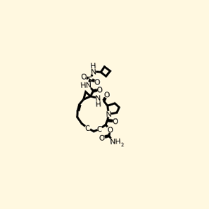 NC(=O)OC1CCCCCC=CC2CC2(C(=O)NS(=O)(=O)NC2CCC2)NC(=O)C2CCCN2C1=O